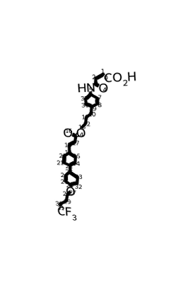 O=C(O)/C=C\C(=O)Nc1ccc(CCCCOC(=O)/C=C/c2ccc(-c3ccc(OCCCC(F)(F)F)cc3)cc2)cc1